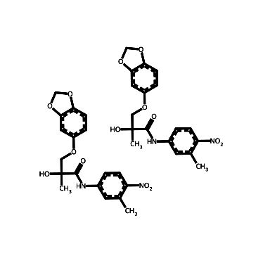 Cc1cc(NC(=O)C(C)(O)COc2ccc3c(c2)OCO3)ccc1[N+](=O)[O-].Cc1cc(NC(=O)C(C)(O)COc2ccc3c(c2)OCO3)ccc1[N+](=O)[O-]